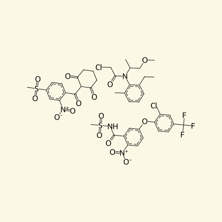 CCc1cccc(C)c1N(C(=O)CCl)C(C)COC.CS(=O)(=O)NC(=O)c1cc(Oc2ccc(C(F)(F)F)cc2Cl)ccc1[N+](=O)[O-].CS(=O)(=O)c1ccc(C(=O)C2C(=O)CCCC2=O)c([N+](=O)[O-])c1